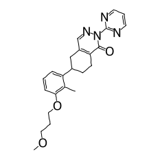 COCCCOc1cccc(C2CCc3c(cnn(-c4ncccn4)c3=O)C2)c1C